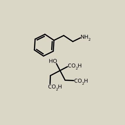 NCCc1ccccc1.O=C(O)CC(O)(CC(=O)O)C(=O)O